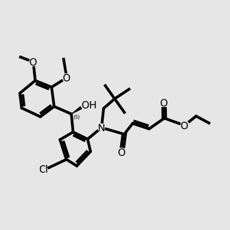 CCOC(=O)C=CC(=O)N(CC(C)(C)C)c1ccc(Cl)cc1[C@H](O)c1cccc(OC)c1OC